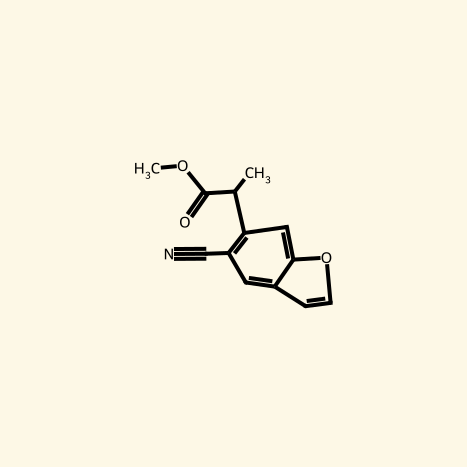 COC(=O)C(C)c1cc2occc2cc1C#N